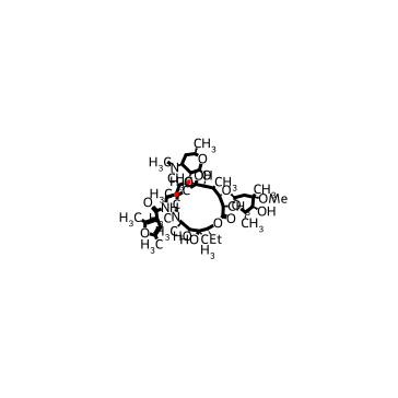 CC[C@H]1OC(=O)[C@H](C)[C@@H](O[C@H]2C[C@@](C)(OC)[C@@H](O)[C@H](C)O2)[C@H](C)[C@@H](O[C@@H]2O[C@H](C)C[C@H](N(C)C)[C@H]2OCCCNC(=O)c2cc(C)oc2C)[C@](C)(O)C[C@@H](C)CN(C)[C@H](C)[C@@H](O)[C@]1(C)O